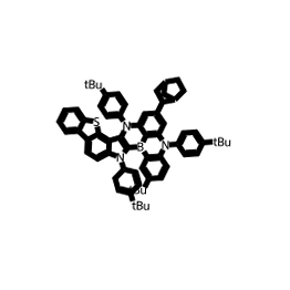 CC(C)(C)C1=CCC(n2c3c(c4c5sc6ccccc6c5ccc42)N(c2ccc(C(C)(C)C)cc2)c2cc(C4CC5CCC4C5)cc4c2B3c2cc(C(C)(C)C)ccc2N4c2ccc(C(C)(C)C)cc2)C=C1